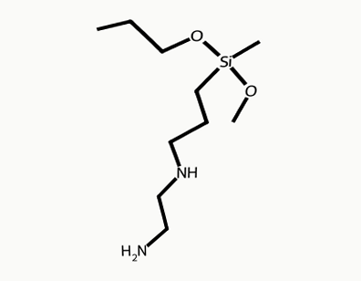 CCCO[Si](C)(CCCNCCN)OC